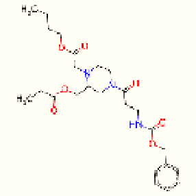 CCCCOC(=O)CN1CCN(C(=O)CCNC(=O)OCc2ccccc2)CC1COC(=O)CC